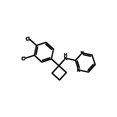 Clc1ccc(C2(Nc3ncccn3)CCC2)cc1Cl